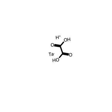 O=C(O)C(=O)O.[H+].[Ta]